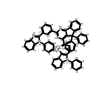 C=C(/C=C\c1c(C)c2ccccc2n1-c1ccccc1)c1nc(-c2cccc(-c3nc4ccccc4n3-c3ccccc3)c2)nc2c1C(c1ccccc1)(c1ccccc1)c1ccccc1-2